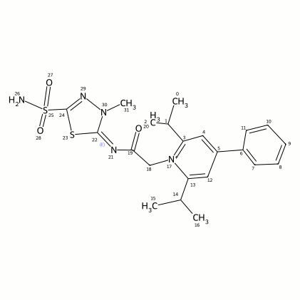 CC(C)c1cc(-c2ccccc2)cc(C(C)C)[n+]1CC(=O)/N=c1/sc(S(N)(=O)=O)nn1C